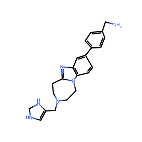 NCc1ccc(-c2ccc3c(c2)nc2n3CCN(CC3=CNCN3)CC2)cc1